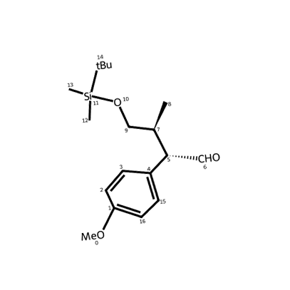 COc1ccc([C@@H](C=O)[C@H](C)CO[Si](C)(C)C(C)(C)C)cc1